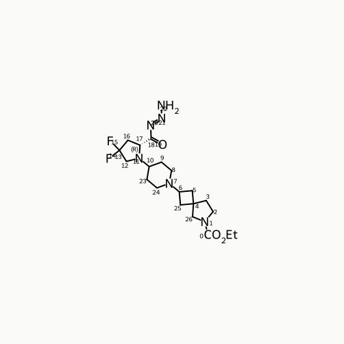 CCOC(=O)N1CCC2(CC(N3CCC(N4CC(F)(F)C[C@@H]4C(=O)N=NN)CC3)C2)C1